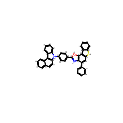 c1ccc(-c2cc3sc4ccccc4c3c3oc(-c4ccc(-n5c6ccccc6c6c7ccccc7ccc65)cc4)nc23)cc1